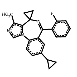 O=C(O)c1ncn2c1C1(CC1)N=C(c1ccccc1F)c1cc(C3CC3)ccc1-2